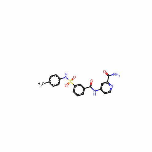 Cc1ccc(NS(=O)(=O)c2cccc(C(=O)Nc3ccnc(C(N)=O)c3)c2)cc1